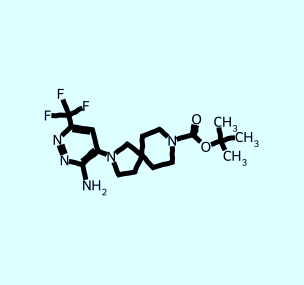 CC(C)(C)OC(=O)N1CCC2(CC1)CCN(c1cc(C(F)(F)F)nnc1N)C2